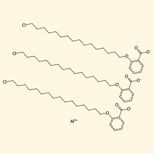 O=C([O-])c1ccccc1OCCCCCCCCCCCCCCCCCl.O=C([O-])c1ccccc1OCCCCCCCCCCCCCCCCCl.O=C([O-])c1ccccc1OCCCCCCCCCCCCCCCCCl.[Al+3]